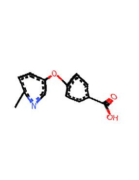 Cc1ccc(Oc2ccc(C(=O)O)cc2)cn1